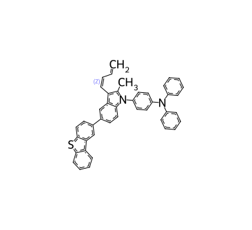 C=C/C=C\c1c(C)n(-c2ccc(N(c3ccccc3)c3ccccc3)cc2)c2ccc(-c3ccc4sc5ccccc5c4c3)cc12